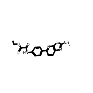 CCOC(=O)C(=O)Nc1ccc(-c2ccc3nc(N)sc3n2)cc1